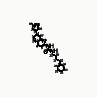 Cn1cc(-c2cnc3ccc(NC(=O)NCCCCc4ccccc4)nc3c2)cn1